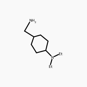 CCN(CC)C1CCC(CN)CC1